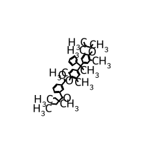 CCCC(C)(CC)C(=O)c1cccc(C(=O)Oc2c(C)cc(C(C)(c3ccccc3)c3cc(C)c(OC(C)CC)c(C)c3)cc2C)c1